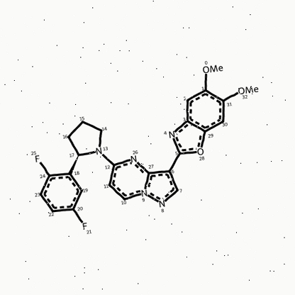 COc1cc2nc(-c3cnn4ccc(N5CCC[C@@H]5c5cc(F)ccc5F)nc34)oc2cc1OC